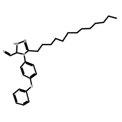 CCCCCCCCCCCCCC1=NNC(C=S)N1c1ccc(Oc2ccccc2)cc1